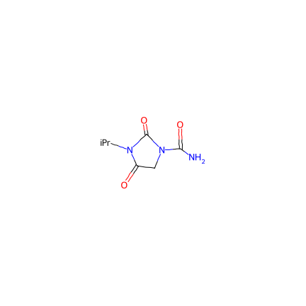 CC(C)N1C(=O)CN(C(N)=O)C1=O